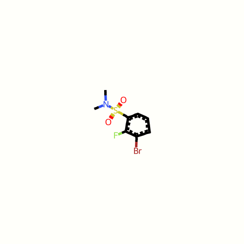 CN(C)S(=O)(=O)c1cccc(Br)c1F